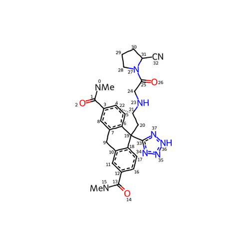 CNC(=O)c1ccc2c(c1)Cc1cc(C(=O)NC)ccc1C2(C[C@H](C)NCC(=O)N1CCCC1C#N)c1nn[nH]n1